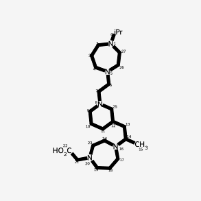 CC(C)N1CCCN(CCN2CCCC(CC(C)N3CCCN(CC(=O)O)CC3)C2)CC1